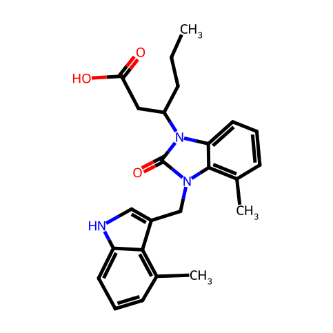 CCCC(CC(=O)O)n1c(=O)n(Cc2c[nH]c3cccc(C)c23)c2c(C)cccc21